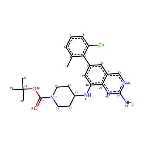 Cc1cccc(Cl)c1-c1cc(NC2CCN(C(=O)OC(C)(C)C)CC2)c2nc(N)ncc2c1